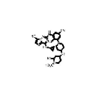 CCC1CC(NC2CCN(c3cc(C#N)cc(Nc4nc(NC5CC5)c5ncc(C#N)n5n4)c3Cl)CC2)CCN1C(=O)O